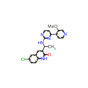 COc1cnccc1-c1ccnc(NC(C)c2cc3cc(Cl)ccc3[nH]c2=O)n1